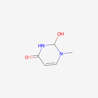 CN1C=CC(=O)NC1O